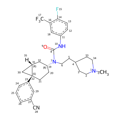 CN1CCC(CCN(C(=O)Nc2ccc(F)c(C(F)(F)F)c2)[C@@H]2CC[C@]3(c4cccc(C#N)c4)C[C@@H]3C2)CC1